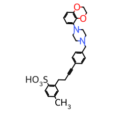 Cc1ccc(S(=O)(=O)O)c(CCC#Cc2ccc(CN3CCN(c4cccc5c4OCCO5)CC3)cc2)c1